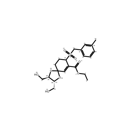 CCOC(=O)C1=CC2(CCC1S(=O)(=O)Cc1cccc(C)c1)O[C@H](CO)[C@@H](CO)O2